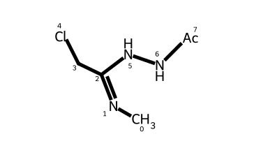 C/N=C(/CCl)NNC(C)=O